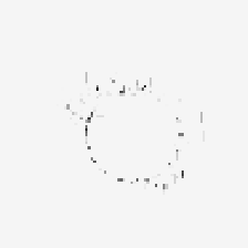 C=C1[C@H](C)OC(=O)C[C@H](O)C[C@H](O)C[C@H](O)CCC[C@H](O)C[C@]2(O)C[C@H](O)[C@@H](C(=O)O)C(C[C@@H](CC3OC(C)C(O)C(N)C3O)/C=C/C=C/C=C/C=C/C=C/C=C/C=C/[C@H](C)[C@H]1O)O2